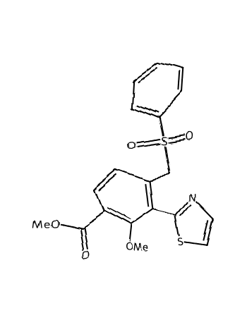 COC(=O)c1ccc(CS(=O)(=O)c2ccccc2)c(-c2nccs2)c1OC